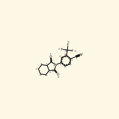 N#Cc1ccc(N2C(=O)C3CCCCC3C2=O)cc1C(F)(F)F